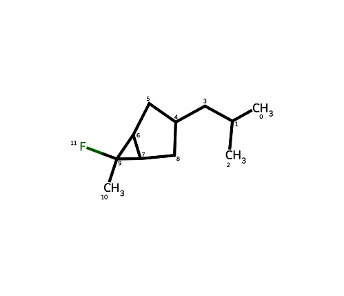 CC(C)CC1CC2C(C1)C2(C)F